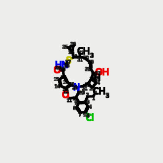 CCCc1cc(Cl)ccc1C1COc2ccc3cc2N(C1)CC1CC[C@H]1C(O)/C=C/CC(C)C(C1CC1)SNC3=O